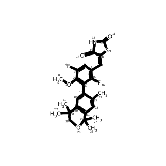 COc1c(F)cc(C=C2SC(=O)NC2=O)c(F)c1-c1cc2c(cc1C)C(C)(C)OCC2(C)C